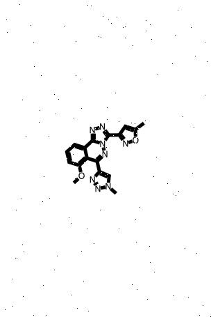 COc1cccc2c1c(-c1cn(C)nn1)nn1c(-c3cc(C)on3)nnc21